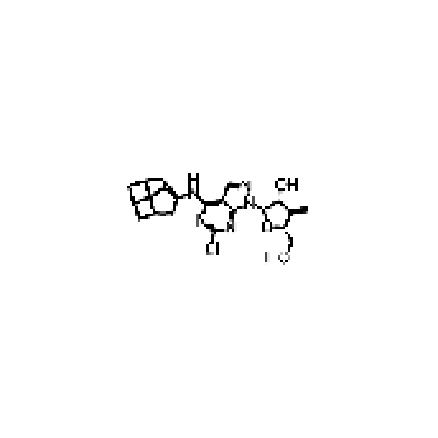 C=C1[C@@H](O)[C@H](n2ncc3c(NC45CC6CC7CC(C4)C76C5)nc(Cl)nc32)O[C@@H]1CO